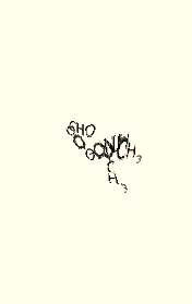 Cc1[nH]c2ccc(Oc3ccc(OC=O)cc3)cc2c1C